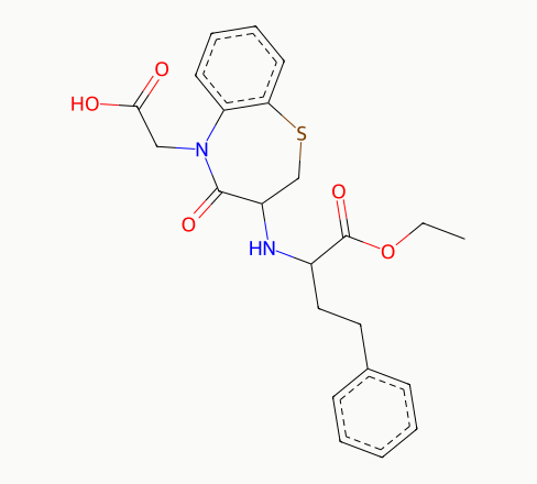 CCOC(=O)C(CCc1ccccc1)NC1CSc2ccccc2N(CC(=O)O)C1=O